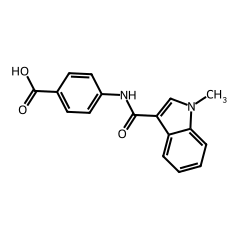 Cn1cc(C(=O)Nc2ccc(C(=O)O)cc2)c2ccccc21